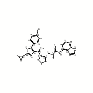 O=C(NC[C@@H]1CCCN1C(=O)c1nc(C2CC2)sc1-c1ccc(F)cc1)Oc1cccc2occc12